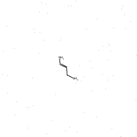 NC=CCN